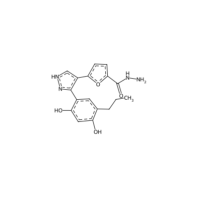 CCCc1cc(-c2n[nH]cc2-c2ccc(C(=O)NN)o2)c(O)cc1O